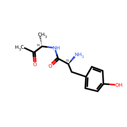 CC(=O)[C@H](C)NC(=O)[C@@H](N)Cc1ccc(O)cc1